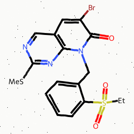 CCS(=O)(=O)c1ccccc1Cn1c(=O)c(Br)cc2cnc(SC)nc21